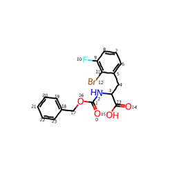 O=C(NC(Cc1cccc(F)c1Br)C(=O)O)OCc1ccccc1